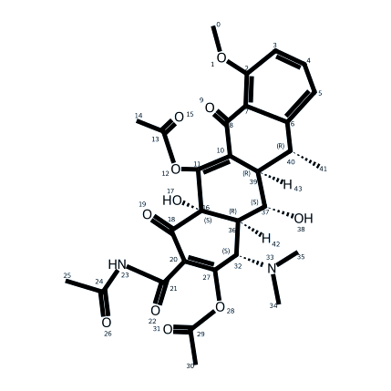 COc1cccc2c1C(=O)C1=C(OC(C)=O)[C@]3(O)C(=O)C(C(=O)NC(C)=O)=C(OC(C)=O)[C@@H](N(C)C)[C@@H]3[C@@H](O)[C@@H]1[C@H]2C